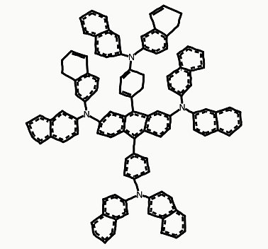 C1=Cc2cc(N(C3=CC=C(c4c5cc(N(c6ccc7c(c6)CCC=C7)c6ccc7ccccc7c6)ccc5c(-c5ccc(N(c6ccc7ccccc7c6)c6ccc7ccccc7c6)cc5)c5ccc(N(c6ccc7ccccc7c6)c6ccc7ccccc7c6)cc45)CC3)c3ccc4ccccc4c3)ccc2CC1